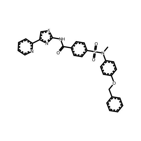 CN(c1ccc(OCc2ccccc2)cc1)S(=O)(=O)c1ccc(C(=O)Nc2nc(-c3ccccn3)cs2)cc1